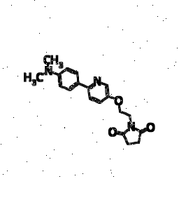 CN(C)c1ccc(-c2ccc(OCCN3C(=O)CCC3=O)cn2)cc1